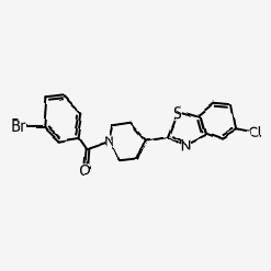 O=C(c1cccc(Br)c1)N1CCC(c2nc3cc(Cl)ccc3s2)CC1